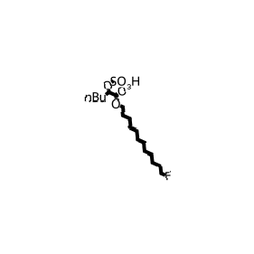 CCCCC(OS(=O)(=O)O)C(=O)OCCCCCCCCCCCCF